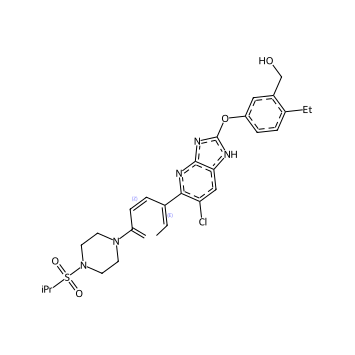 C=C(/C=C\C(=C/C)c1nc2nc(Oc3ccc(CC)c(CO)c3)[nH]c2cc1Cl)N1CCN(S(=O)(=O)C(C)C)CC1